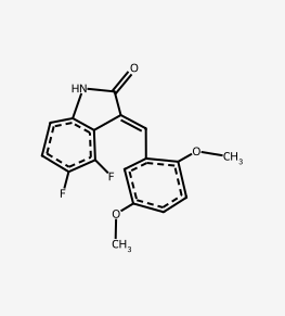 COc1ccc(OC)c(/C=C2/C(=O)Nc3ccc(F)c(F)c32)c1